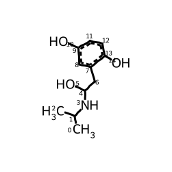 CC(C)NC(O)Cc1cc(O)ccc1O